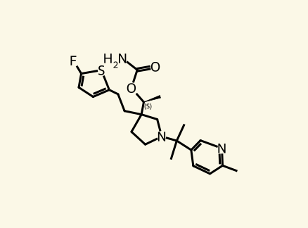 Cc1ccc(C(C)(C)N2CCC(CCc3ccc(F)s3)([C@H](C)OC(N)=O)C2)cn1